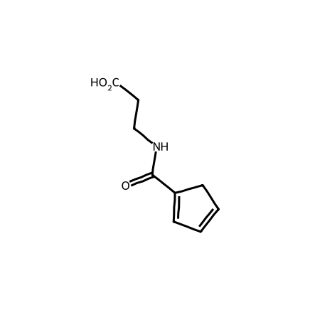 O=C(O)CCNC(=O)C1=CC=CC1